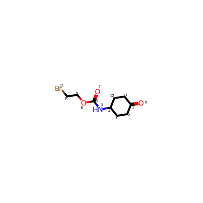 O=C1CCC(NC(=O)OCCBr)CC1